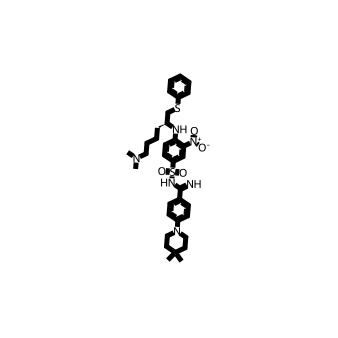 CN(C)CCCC[C@H](CSc1ccccc1)Nc1ccc(S(=O)(=O)NC(=N)c2ccc(N3CCC(C)(C)CC3)cc2)cc1[N+](=O)[O-]